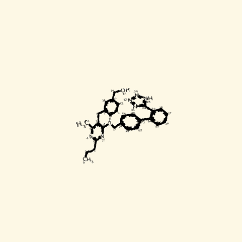 CCCc1nc(C)c(Cc2cccc(CO)c2)c(OCc2ccc(-c3ccccc3-c3nnn[nH]3)cc2)n1